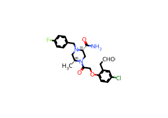 C[C@@H]1CN(Cc2ccc(F)cc2)[C@H](C(N)=O)CN1C(=O)COc1ccc(Cl)cc1C[C]=O